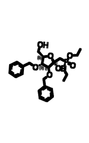 CCOP(=O)(C[C@]1(O)O[C@H](CO)[C@@H](OCc2ccccc2)[C@@H]1OCc1ccccc1)OCC